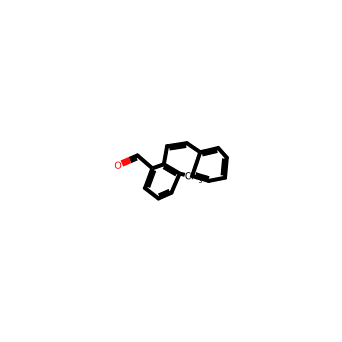 Cc1cccc(C=O)c1/C=C\c1ccccc1